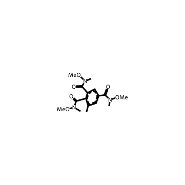 CON(C)C(=O)c1cc(C)c(C(=O)N(C)OC)c(C(=O)N(C)OC)c1